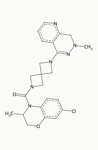 CC1COc2cc(Cl)ccc2N1C(=O)N1CC2(C1)CN(C1=NN(C)Cc3ncccc31)C2